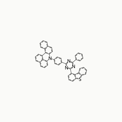 c1ccc(-c2nc(-c3ccc(N4c5ccc6ccccc6c5-c5cccc6cccc4c56)cc3)nc(-c3cccc4sc5ccccc5c34)n2)cc1